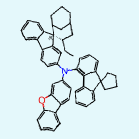 CCC1CC2CCCC(C2)[C@@]12c1ccccc1-c1ccc(N(c3ccc4c(c3)oc3ccccc34)c3cccc4c3-c3ccccc3C43CCCC3)cc12